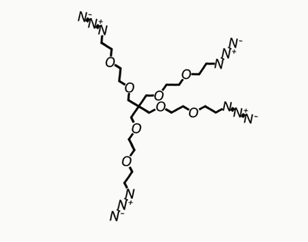 [N-]=[N+]=NCCOCCOCC(COCCOCCN=[N+]=[N-])(COCCOCCN=[N+]=[N-])COCCOCCN=[N+]=[N-]